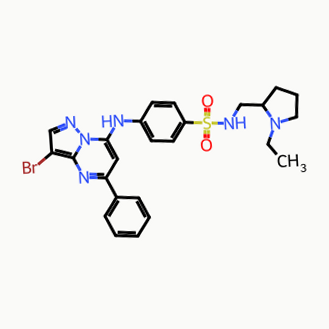 CCN1CCCC1CNS(=O)(=O)c1ccc(Nc2cc(-c3ccccc3)nc3c(Br)cnn23)cc1